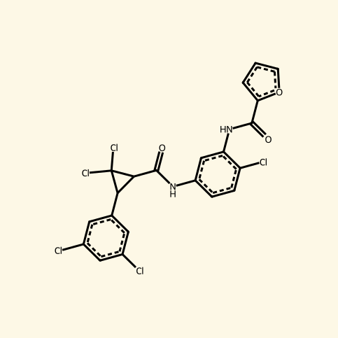 O=C(Nc1cc(NC(=O)C2C(c3cc(Cl)cc(Cl)c3)C2(Cl)Cl)ccc1Cl)c1ccco1